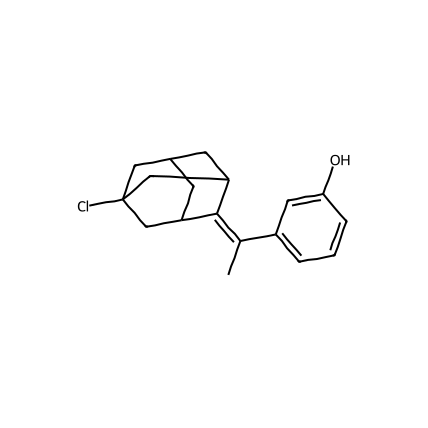 CC(=C1C2CC3CC1CC(Cl)(C3)C2)c1cccc(O)c1